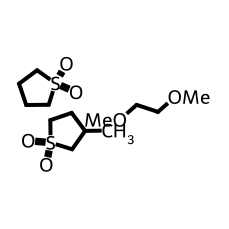 CC1CCS(=O)(=O)C1.COCCOC.O=S1(=O)CCCC1